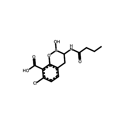 CCCC(=O)NC1Cc2ccc(Cl)c(C(=O)O)c2OB1O